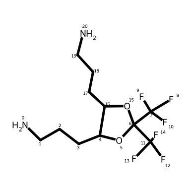 NCCCC1OC(C(F)(F)F)(C(F)(F)F)OC1CCCN